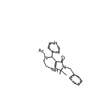 CC(=O)N1CCNC2=C(C(=O)N(Cc3ccccc3)C2(C)C)C1c1ccncc1